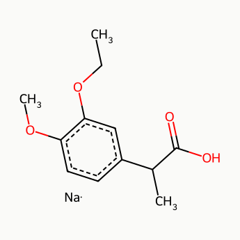 CCOc1cc(C(C)C(=O)O)ccc1OC.[Na]